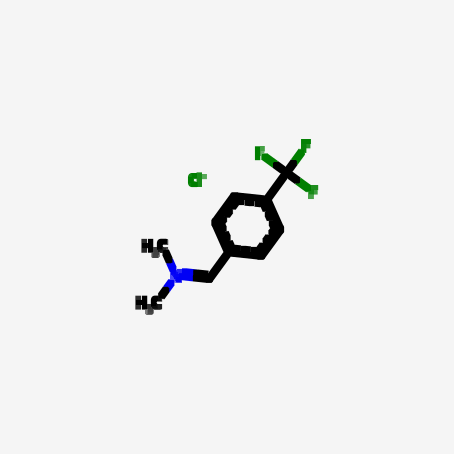 C[N+](C)=Cc1ccc(C(F)(F)F)cc1.[Cl-]